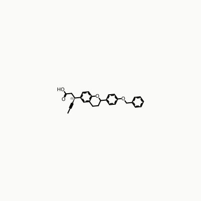 CC#C[C@@H](CC(=O)O)c1ccc2c(c1)CCC(c1ccc(OCc3ccccc3)cc1)O2